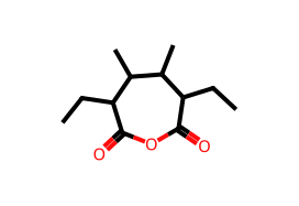 CCC1C(=O)OC(=O)C(CC)C(C)C1C